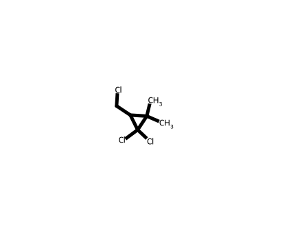 CC1(C)C(CCl)C1(Cl)Cl